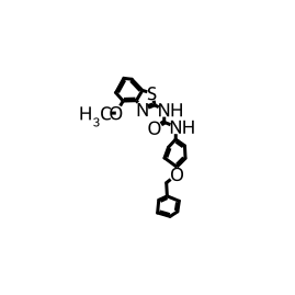 COc1cccc2sc(NC(=O)Nc3ccc(OCc4ccccc4)cc3)nc12